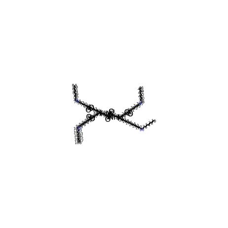 CCCCCCCC/C=C\CCCCCCCCCCCCN(CCCCOC(=O)CCCCCCC/C=C\CCCCCCCC)CCCCC1NC(=O)C(CCCCN(CCCCOC(=O)CCCCCCC/C=C\CCCCCCCC)CCCCOC(=O)CCCCCCC/C=C\CCCCCCCC)NC1=O